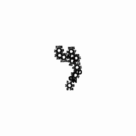 c1ccc(-c2nc3cc4oc5ccc(-c6ccc(N(c7ccc8ccc9ccccc9c8c7)c7ccccc7-c7ccccc7)cc6)cc5c4cc3o2)cc1